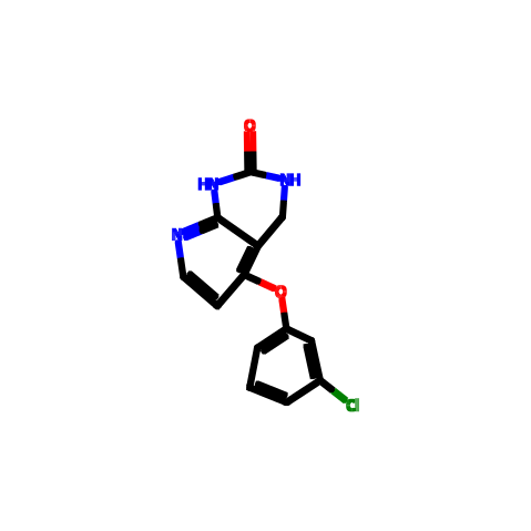 O=C1NCc2c(Oc3cccc(Cl)c3)ccnc2N1